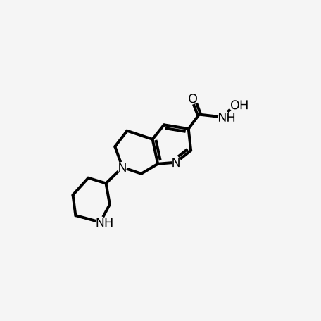 O=C(NO)c1cnc2c(c1)CCN(C1CCCNC1)C2